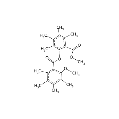 COC(=O)c1c(C)c(C)c(C)c(C)c1OC(=O)c1c(C)c(C)c(C)c(C)c1OC